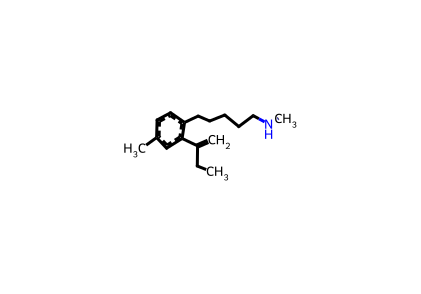 C=C(CC)c1cc(C)ccc1CCCCCNC